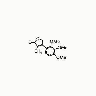 COc1ccc(C2=C(C)C(=O)OC2)c(OC)c1OC